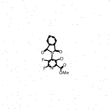 COC(=O)c1nc(F)c(F)c(N2C(=O)c3ccccc3C2=O)c1Cl